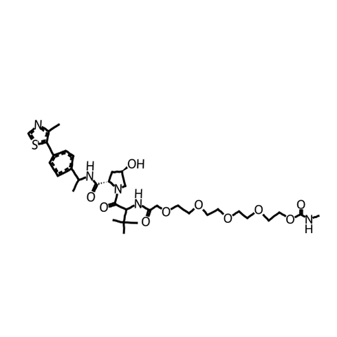 CNC(=O)OCCOCCOCCOCCOCC(=O)NC(C(=O)N1C[C@H](O)C[C@H]1C(=O)NC(C)c1ccc(-c2scnc2C)cc1)C(C)(C)C